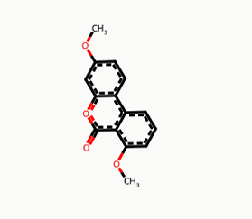 COc1ccc2c(c1)oc(=O)c1c(OC)cccc12